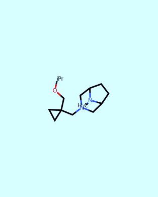 CC(C)OCC1(CN2CC3CCC(C2)N3C)CC1